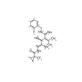 CC(C)=C(C(=N)NCc1ccccc1F)C(=N)/C(N)=N/NC(=O)C1(C(F)(F)F)CC1